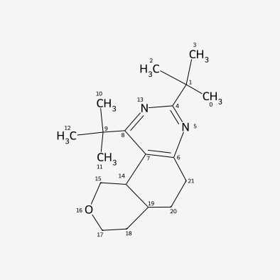 CC(C)(C)c1nc2c(c(C(C)(C)C)n1)C1COCCC1CC2